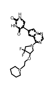 O=c1[nH]cc(-c2cc3c(N4CC(OCCN5CCCCC5)C(F)(F)C4)ncnn3c2)c(=O)[nH]1